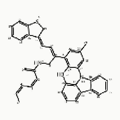 C=C(/C=C\C=C/C)NC/C(=C\C=C1/CSc2ccccc21)c1cc(C)cc2c1Bc1cccc3c4ccccc4n-2c13